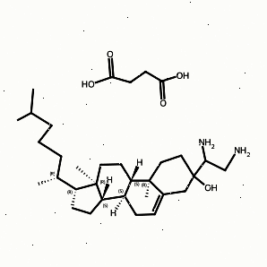 CC(C)CCC[C@@H](C)[C@H]1CC[C@H]2[C@@H]3CC=C4CC(O)(C(N)CN)CC[C@]4(C)[C@H]3CC[C@]12C.O=C(O)CCC(=O)O